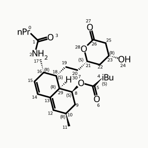 CCCC(N)=O.CC[C@H](C)C(=O)O[C@H]1C[C@@H](C)C=C2C=C[C@H](C)[C@H](CC[C@H]3C[C@@H](O)CC(=O)O3)[C@H]21